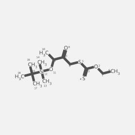 CCOC(=S)SCC(=O)C(C)O[Si](C)(C)C(C)(C)C